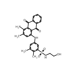 Cc1cc(Nc2cc(C)c(N)c3c2C(=O)c2ccccc2C3=O)cc(S(=O)(=O)NCCO)c1C